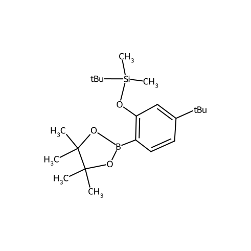 CC(C)(C)c1ccc(B2OC(C)(C)C(C)(C)O2)c(O[Si](C)(C)C(C)(C)C)c1